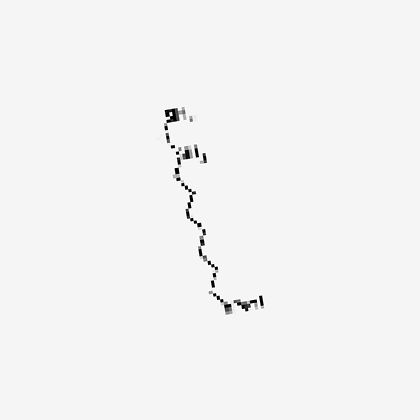 CCCCCCCCCCCC[SiH2]O[SiH3]